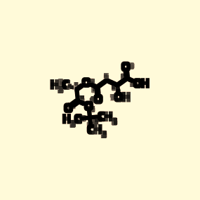 C[C@H](OC(=O)C[C@H](O)C(=O)O)C(=O)OC(C)(C)C